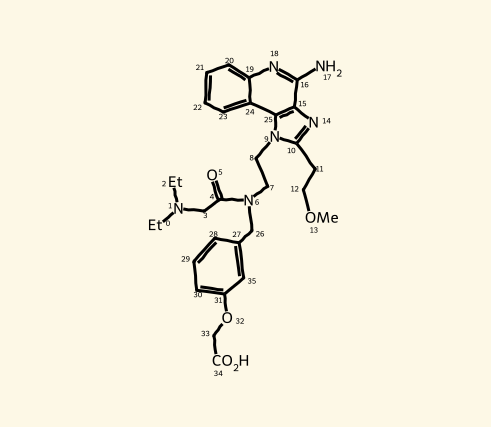 CCN(CC)CC(=O)N(CCn1c(CCOC)nc2c(N)nc3ccccc3c21)Cc1cccc(OCC(=O)O)c1